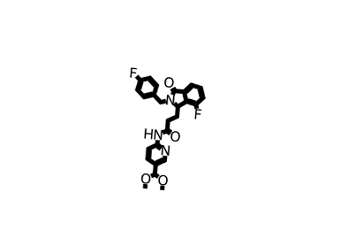 COC(OC)c1ccc(NC(=O)CCC2c3c(F)cccc3C(=O)N2Cc2ccc(F)cc2)nc1